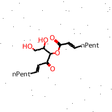 CCCCCC=CC(=O)OC(C(=O)C=CCCCCC)C(O)CO